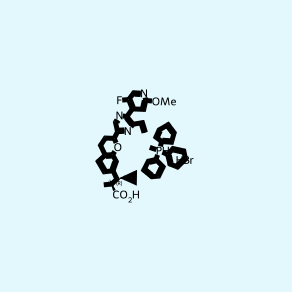 Br.C=Cc1nc(C2CCc3ccc([C@H](C4CC4)[C@H](C)C(=O)O)cc3O2)cnc1-c1cc(OC)ncc1F.C[PH](c1ccccc1)(c1ccccc1)c1ccccc1